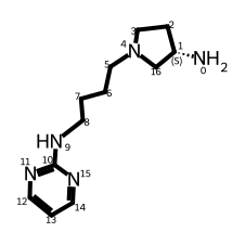 N[C@H]1CCN(CCCCNc2ncccn2)C1